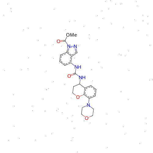 COC(=O)n1ncc2c(NC(=O)NC3CCOc4c3cccc4N3CCOCC3)cccc21